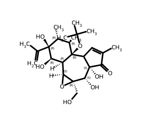 C=C(C)[C@]1(O)[C@H](C)[C@@H](C)[C@]2(OC(C)(C)C)C3C=C(C)C(=O)[C@@]3(O)[C@H](O)[C@@]3(CO)O[C@H]3[C@H]2[C@H]1O